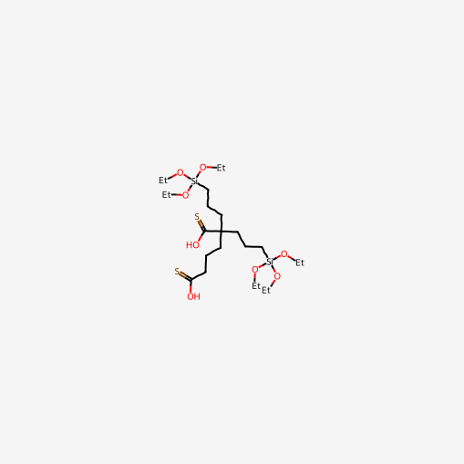 CCO[Si](CCCC(CCCC(O)=S)(CCC[Si](OCC)(OCC)OCC)C(O)=S)(OCC)OCC